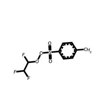 Cc1ccc(S(=O)(=O)OOC(F)C(F)F)cc1